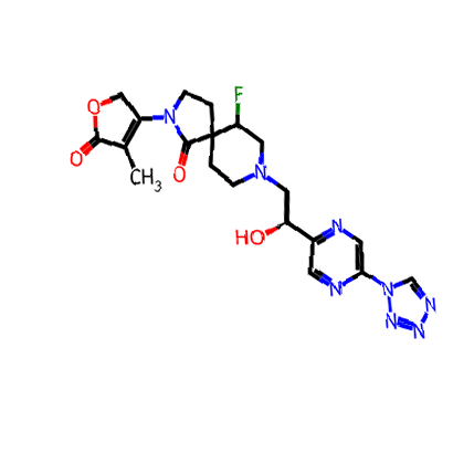 CC1=C(N2CCC3(CCN(C[C@H](O)c4cnc(-n5cnnn5)cn4)CC3F)C2=O)COC1=O